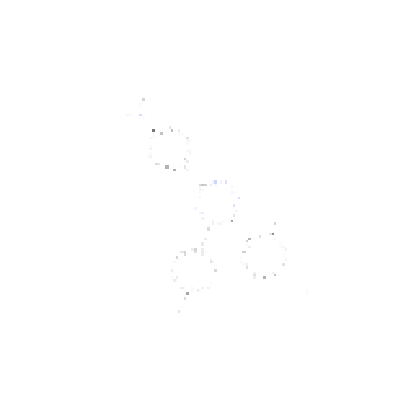 Cc1ccc(-c2nnc(-c3ccc(N(C)C)cc3)nc2-c2ccc(C)cc2C)c(C)c1